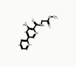 COC(=O)CNC(=O)c1ncc(-c2ccccn2)cc1O